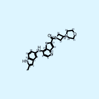 Cc1cc2cc(Nc3ccnc4cc(C(=O)N5CC(N6CCOCC6)C5)sc34)ccc2[nH]1